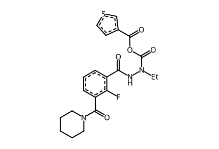 CCN(NC(=O)c1cccc(C(=O)N2CCCCC2)c1F)C(=O)OC(=O)c1ccsc1